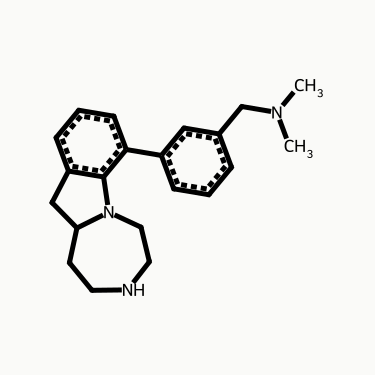 CN(C)Cc1cccc(-c2cccc3c2N2CCNCCC2C3)c1